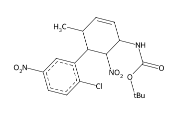 CC1C=CC(NC(=O)OC(C)(C)C)C([N+](=O)[O-])C1c1cc([N+](=O)[O-])ccc1Cl